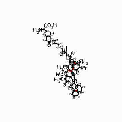 CC[C@H](C)[C@@H]([C@@H](CC(=O)N1CCC[C@H]1[C@H](OC)[C@@H](C)C(=O)N[C@@]1(C(=O)N2CCCCO2)C[C@@H]1c1ccccc1)OC)N(C)[C@H](C(=O)NC(=O)[C@H](C(C)C)N(C)CCCC(=O)NNC(=O)CCCCCN1C(=O)CC(SC[C@H](N)C(=O)O)C1=O)C(C)C